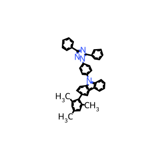 Cc1cc(C)c(-c2ccc3c(c2)c2ccccc2n3-c2ccc(-n3nc(-c4ccccc4)nc3-c3ccccc3)cc2)c(C)c1